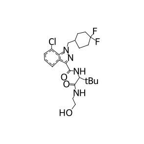 CC(C)(C)C(NC(=O)c1nn(CC2CCC(F)(F)CC2)c2c(Cl)cccc12)C(=O)NCCO